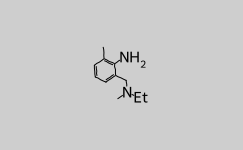 CCN(C)Cc1cccc(C)c1N